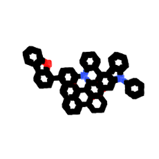 c1ccc(-n2c3ccccc3c3c(-c4ccccc4N(c4ccc(-c5cccc6c5oc5ccccc56)cc4)c4ccccc4-c4cccc5cccc(C6CCCCC6)c45)cccc32)cc1